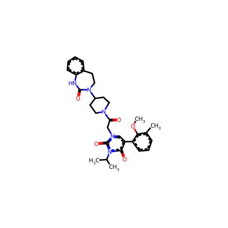 COc1c(C)cccc1-c1cn(CC(=O)N2CCC(N3CCc4ccccc4NC3=O)CC2)c(=O)n(C(C)C)c1=O